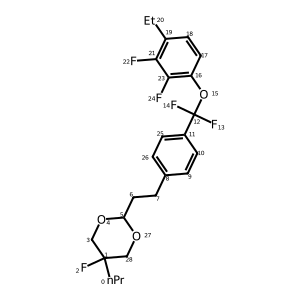 CCCC1(F)COC(CCc2ccc(C(F)(F)Oc3ccc(CC)c(F)c3F)cc2)OC1